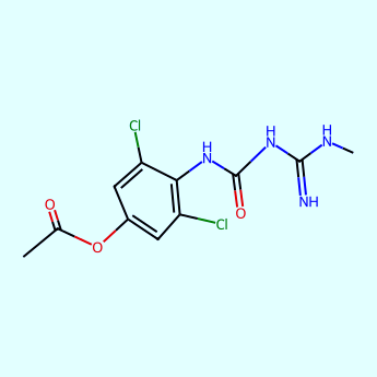 CNC(=N)NC(=O)Nc1c(Cl)cc(OC(C)=O)cc1Cl